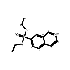 CCOP(=O)(OCC)c1ccc2ccncc2c1